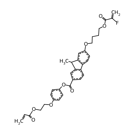 C=CC(=O)OCCOc1ccc(OC(=O)c2ccc3c(c2)C(C)c2cc(OCCCCOC(=O)C(=C)F)ccc2-3)cc1